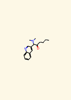 CCCCC(=O)C(c1cnc2ccccc2c1)N(C)C